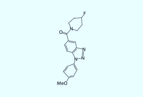 COc1ccc(-n2nnc3cc(C(=O)N4CCC(F)CC4)ccc32)cc1